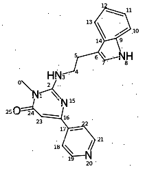 Cn1c(NCCc2c[nH]c3ccccc23)nc(-c2ccncc2)cc1=O